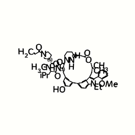 C=CC(=O)N1CC[C@H](C(=O)N(C)C(C(=O)N[C@H]2Cc3cc(O)cc(c3)-c3ccc4c(c3)c(c(-c3ccccc3OC)n4CC)CC(C)(C)COC(=O)C[C@@H]3CCCN(N3)C2=O)C(C)C)C1